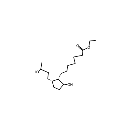 CCOC(=O)CCCCCC[C@H]1[C@@H](CCC(C)O)CC[C@@H]1O